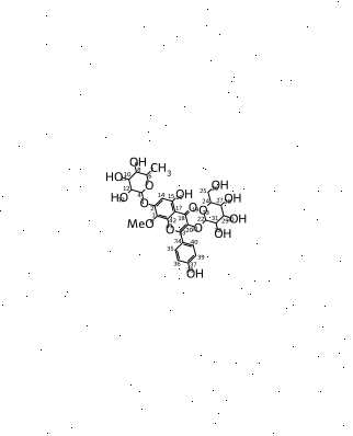 COc1c(OC2OC(C)C(O)C(O)C2O)cc(O)c2c(=O)c(OC3OC(CO)C(O)C(O)C3O)c(-c3ccc(O)cc3)oc12